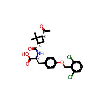 CC(=O)[C@@H]1C[C@H](C(=O)N[C@@H](Cc2ccc(OCc3c(Cl)cccc3Cl)cc2)C(=O)O)C1(C)C